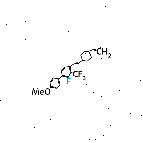 C=CC1CCC(/C=C/c2ccc(-c3ccc(OC)cc3)c(F)c2C(F)(F)F)CC1